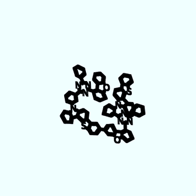 c1ccc(-c2nc(-c3cccc(-n4c5ccccc5c5c6sc7ccc(-c8ccc9c(c8)oc8cccc(-c%10nc(-c%11ccccc%11)nc(-c%11ccccc%11-n%11c%12ccccc%12c%12c%13sc%14ccccc%14c%13ccc%12%11)n%10)c89)cc7c6ccc54)c3)nc(-c3cccc4oc5ccccc5c34)n2)cc1